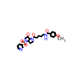 COc1ccc(C(=O)NCCCCC(=O)N2CCC3C2C(=O)CN3S(=O)(=O)c2cccnc2)cc1